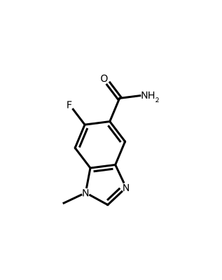 Cn1cnc2cc(C(N)=O)c(F)cc21